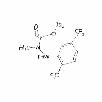 CN(Nc1cc(C(F)(F)F)ccc1C(F)(F)F)C(=O)OC(C)(C)C